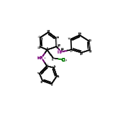 ClCC1(Pc2ccccc2)C=CC=CC1Pc1ccccc1